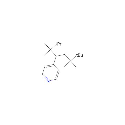 CC(C)C(C)(C)C(CC(C)(C)C(C)(C)C)c1ccncc1